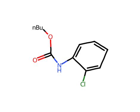 CCCCOC(=O)Nc1ccccc1Cl